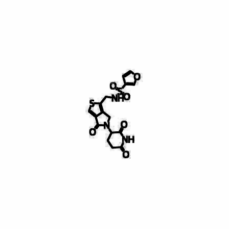 O=C1CCC(N2Cc3c(csc3CNS(=O)(=O)c3ccoc3)C2=O)C(=O)N1